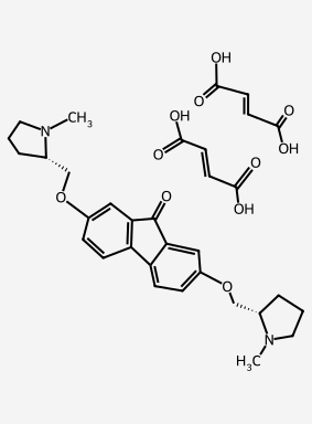 CN1CCC[C@H]1COc1ccc2c(c1)C(=O)c1cc(OC[C@@H]3CCCN3C)ccc1-2.O=C(O)/C=C/C(=O)O.O=C(O)/C=C/C(=O)O